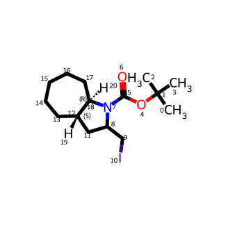 CC(C)(C)OC(=O)N1C(CI)C[C@@H]2CCCCC[C@H]21